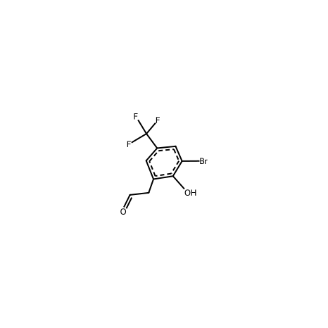 O=CCc1cc(C(F)(F)F)cc(Br)c1O